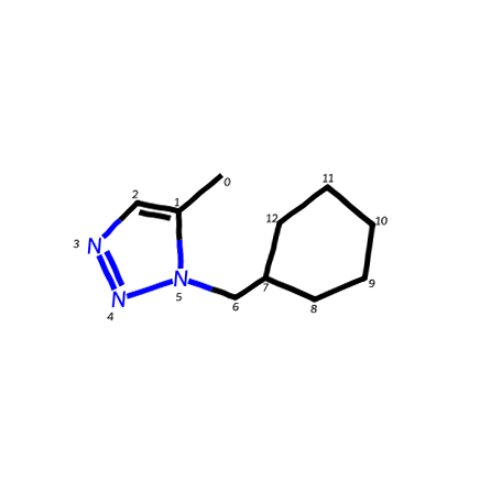 Cc1cnnn1CC1CCCCC1